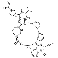 C=CC(=O)N1CC[C@H](C(=O)N(C)C(C(=O)N[C@H]2Cc3cccc(c3)-c3ccc4c(c3)c(c(-c3cccnc3[C@H](C)OC)n4CC#CC)CC(C)(C)COC(=O)[C@@H]3CCCN(NC3)C2=O)C(C)C)C1